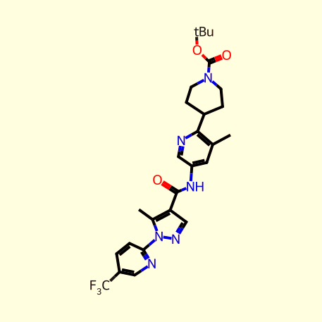 Cc1cc(NC(=O)c2cnn(-c3ccc(C(F)(F)F)cn3)c2C)cnc1C1CCN(C(=O)OC(C)(C)C)CC1